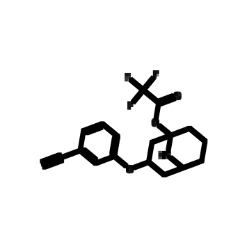 C#Cc1cccc(OC2CC3CCCC(OC(=O)C(F)(F)F)(C2)N3)c1